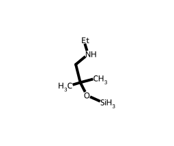 CCNCC(C)(C)O[SiH3]